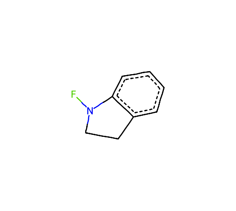 FN1CCc2ccccc21